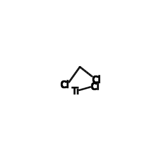 ClCCl.[Cl][Ti]